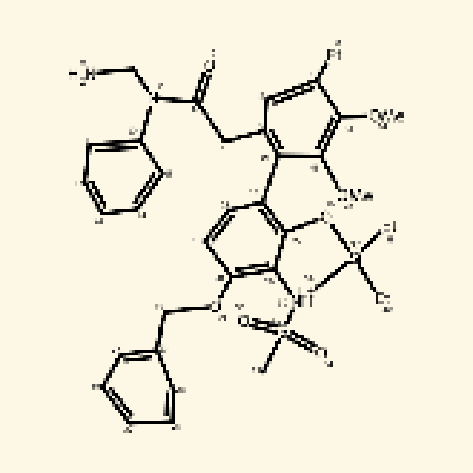 CCc1cc(CC(=O)N(CN)c2ccccc2)c(-c2ccc(OCc3ccccc3)c(NS(C)(=O)=O)c2O[Si](CC)(CC)CC)c(OC)c1OC